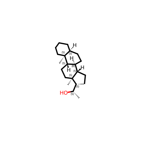 C[C@H](O)[C@H]1CC[C@H]2[C@@H]3CC[C@@H]4CCCC[C@]4(C)[C@H]3CC[C@]12C